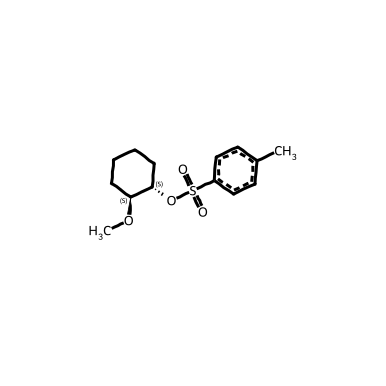 CO[C@H]1CCCC[C@@H]1OS(=O)(=O)c1ccc(C)cc1